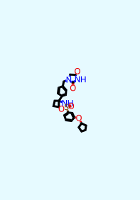 O=C1CN(Cc2ccc(C3(NS(=O)(=O)c4cccc(OC5CCCC5)c4)CCC3)cc2)C(=O)N1